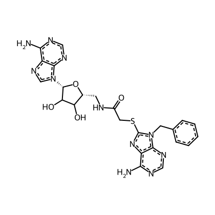 Nc1ncnc2c1ncn2[C@@H]1O[C@H](CNC(=O)CSc2nc3c(N)ncnc3n2Cc2ccccc2)C(O)C1O